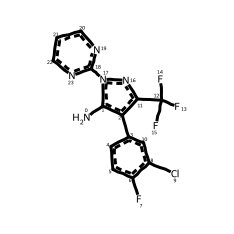 Nc1c(-c2ccc(F)c(Cl)c2)c(C(F)(F)F)nn1-c1ncccn1